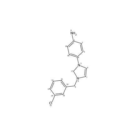 Nc1ccc(N2C=CN(Cc3cccc(Cl)c3)C2)cc1